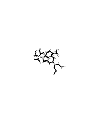 CCCN(CCC)C1Cc2cn([Si](C(C)C)(C(C)C)C(C)C)c3ccc(C(C)=O)c(c23)C1